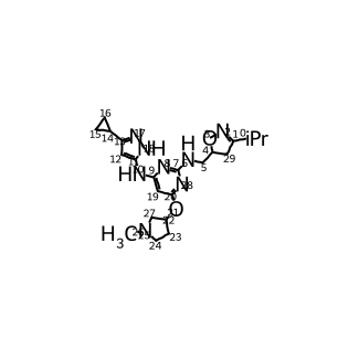 CC(C)C1=NOC(CNc2nc(Nc3cc(C4CC4)n[nH]3)cc(OC3CCN(C)C3)n2)C1